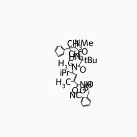 CNC(C(=O)NC(C(=O)N(C)C(C=C(C)C(=O)NS(=O)(=O)Cc1ccccc1C#N)C(C)C)C(C)(C)C)C(C)(C)c1ccccc1